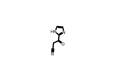 N#CCC(=O)c1ncc[nH]1